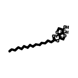 CCCCCCCCCCCCCCCC(=O)O[C@H]1CO[C@H]2[C@@H]1OC[C@H]2O